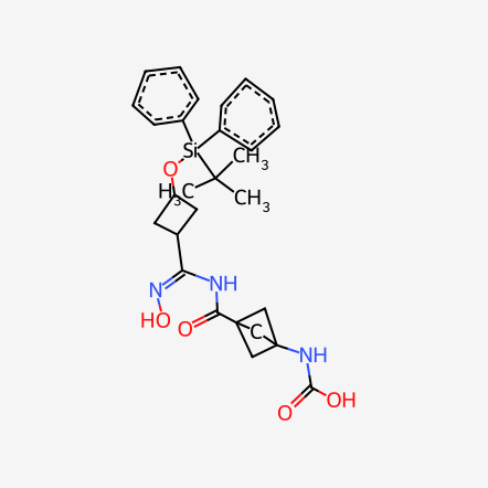 CC(C)(C)[Si](OC1CC(/C(=N/O)NC(=O)C23CC(NC(=O)O)(C2)C3)C1)(c1ccccc1)c1ccccc1